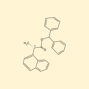 C[C@H](C(=O)OC(c1ccccc1)c1ccccc1)c1cccc2ccccc12